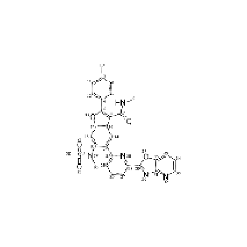 CNC(=O)c1c(-c2ccc(C)cc2)oc2cc(N(C)S(C)(=O)=O)c(-c3cccc(-c4nc5ncccc5o4)n3)cc12